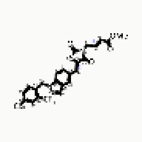 COC(=O)/C=C/CN1C(=O)S/C(=C\c2ccc3c(cnn3Cc3ccc(Cl)cc3C(F)(F)F)c2)C1=O